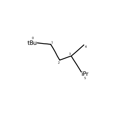 [CH2]C(C)(C)CCC(C)C(C)C